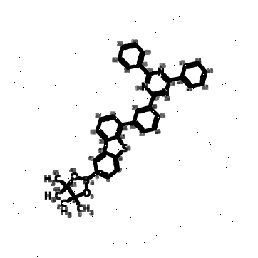 CC1(C)OB(c2ccc3sc4c(-c5cccc(-c6nc(-c7ccccc7)nc(-c7ccccc7)n6)c5)cccc4c3c2)OC1(C)C